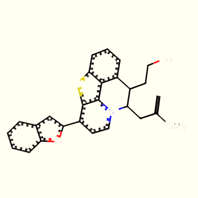 C=C(CC1C(CCO)c2cccc3sc4c(-c5cc6ccccc6o5)cc[n+]1c4c23)OC